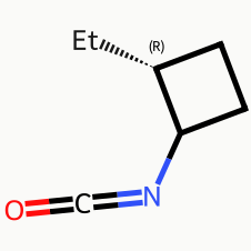 CC[C@@H]1CCC1N=C=O